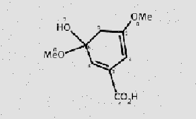 COC1=CC(C(=O)O)=CC(O)(OC)C1